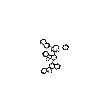 C1=C(c2ccc3ccccc3c2)N=C(c2ccc(-c3cc4c5ccccc5oc4c4ccccc34)c3oc4ccccc4c23)N=C(c2ccccc2)C1